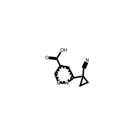 N#CC1(c2cc(C(=O)O)cnn2)CC1